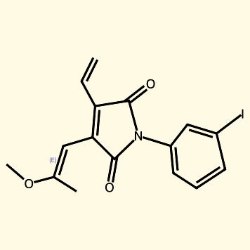 C=CC1=C(/C=C(\C)OC)C(=O)N(c2cccc(I)c2)C1=O